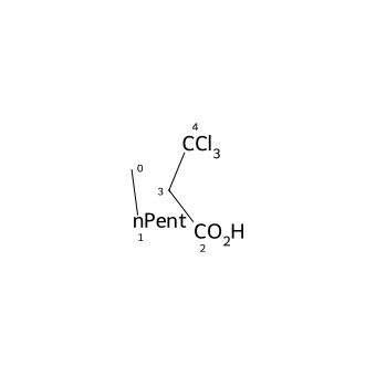 CCCCCC.O=C(O)CC(Cl)(Cl)Cl